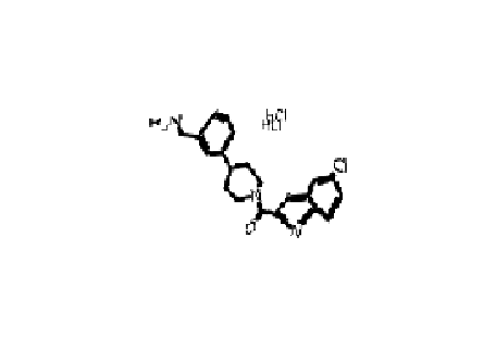 Cl.Cl.NCc1cccc(C2CCN(C(=O)c3cnc4ccc(Cl)cc4c3)CC2)c1